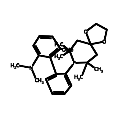 COc1cccc(N(C)C)c1-c1ccccc1P1C(C)(C)CC2(CC1(C)C)OCCO2